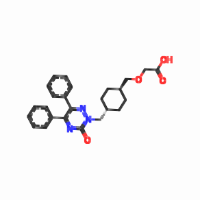 O=C(O)COC[C@H]1CC[C@H](Cn2nc(-c3ccccc3)c(-c3ccccc3)nc2=O)CC1